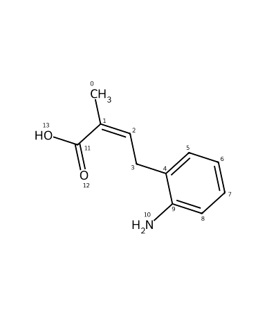 CC(=CCc1ccccc1N)C(=O)O